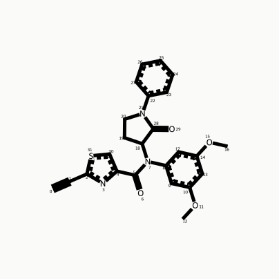 C#Cc1nc(C(=O)N(c2cc(OC)cc(OC)c2)C2CCN(c3ccccc3)C2=O)cs1